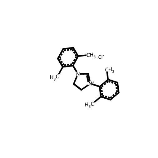 Cc1cccc(C)c1N1C=[N+](c2c(C)cccc2C)CC1.[Cl-]